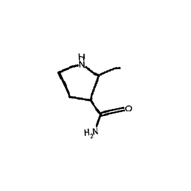 CC1NCCC1C(N)=O